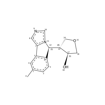 Cc1ccc2c(c1)-c1cncn1[C@H]2[C@@H]1COC[C@H]1O